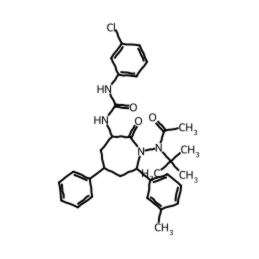 CC(=O)N(N1C(=O)C(NC(=O)Nc2cccc(Cl)c2)CC(c2ccccc2)CC1c1cccc(C)c1)C(C)(C)C